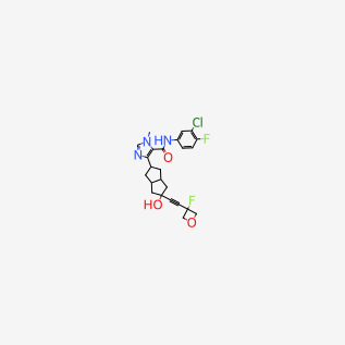 Cn1cnc(C2CC3CC(O)(C#CC4(F)COC4)CC3C2)c1C(=O)Nc1ccc(F)c(Cl)c1